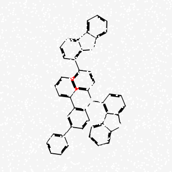 c1ccc(-c2ccc(N(c3ccc(-c4cccc5c4oc4ccccc45)cc3)c3cccc4sc5ccccc5c34)c(-c3ccccc3)c2)cc1